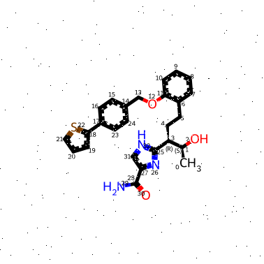 C[C@H](O)[C@H](CCc1ccccc1OCc1ccc(-c2cccs2)cc1)c1nc(C(N)=O)c[nH]1